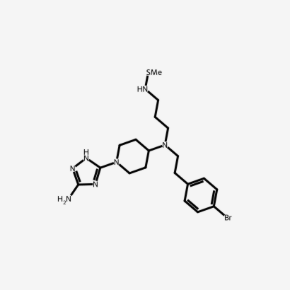 CSNCCCN(CCc1ccc(Br)cc1)C1CCN(c2nc(N)n[nH]2)CC1